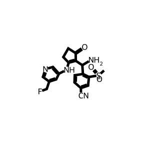 CS(=O)(=O)c1cc(C#N)ccc1C(N)C1=C(Nc2cncc(CF)c2)CCC1=O